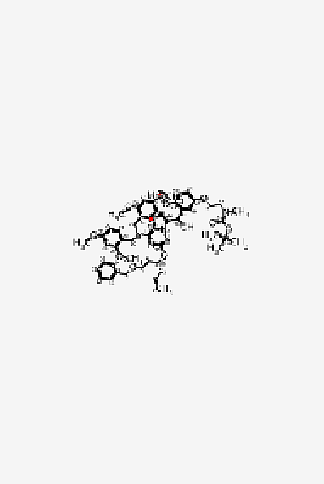 CCC[C@H](CCOCc1ccccc1)Oc1nc(N(Cc2ccc(OC)cc2OC)Cc2ccc(OC)cc2OC)c2ncc(C(O)c3cc(OCCN(C)C(=O)OC(C)(C)C)ccc3OC)n2n1